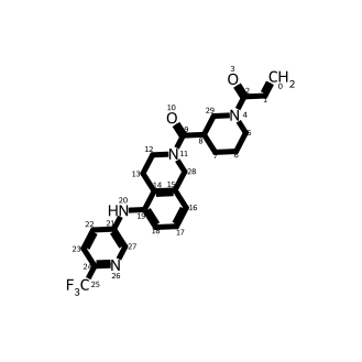 C=CC(=O)N1CCCC(C(=O)N2CCc3c(cccc3Nc3ccc(C(F)(F)F)nc3)C2)C1